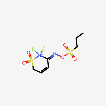 CCCS(=O)(=O)ON=C1C=CCS(=O)(=O)[N+]1(F)F